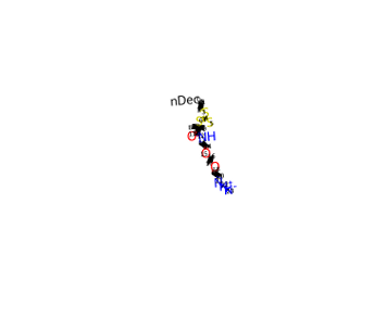 CCCCCCCCCCCCSC(=S)SC(C)(C)C(=O)NCCOCCOCCN=[N+]=[N-]